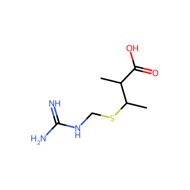 CC(SCNC(=N)N)C(C)C(=O)O